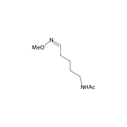 CO/N=C\CCCCNC(C)=O